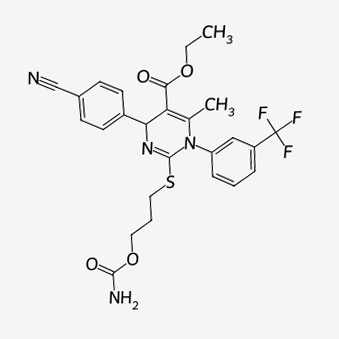 CCOC(=O)C1=C(C)N(c2cccc(C(F)(F)F)c2)C(SCCCOC(N)=O)=NC1c1ccc(C#N)cc1